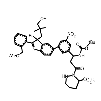 CCC1(CC(C)(C)CO)C(c2ccccc2COC)=Nc2ccc(-c3cc(C(CC(=O)N4NCCCC4C(=O)O)NC(=O)OC(C)(C)C)cc([N+](=O)[O-])c3)cc21